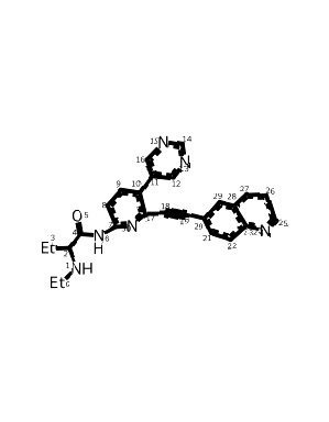 CCNC(CC)C(=O)Nc1ccc(-c2cncnc2)c(C#Cc2ccc3ncccc3c2)n1